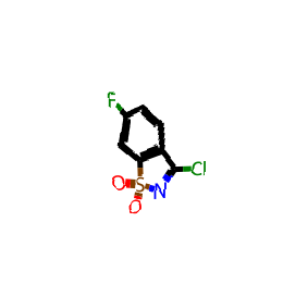 O=S1(=O)N=C(Cl)c2ccc(F)cc21